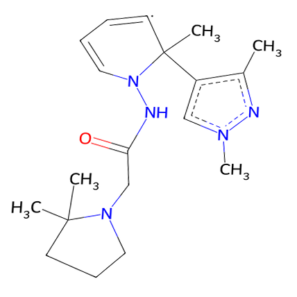 Cc1nn(C)cc1C1(C)[C]=CC=CN1NC(=O)CN1CCCC1(C)C